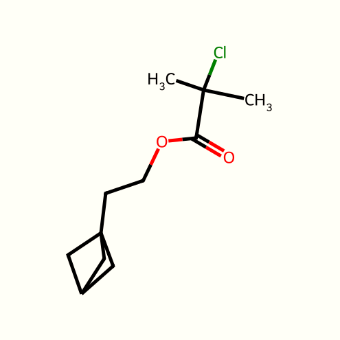 CC(C)(Cl)C(=O)OCCC12CC(C1)C2